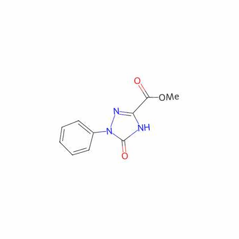 COC(=O)c1nn(-c2ccccc2)c(=O)[nH]1